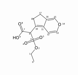 CCOS(=O)(=O)C(C(=O)O)C1=C2C=COC=C2CC1